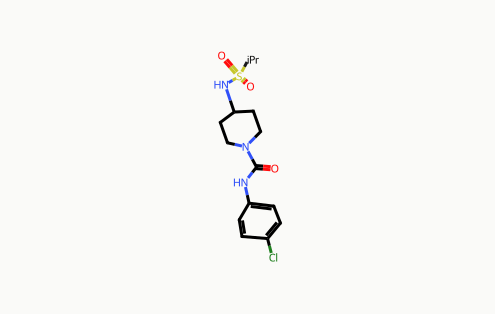 CC(C)S(=O)(=O)NC1CCN(C(=O)Nc2ccc(Cl)cc2)CC1